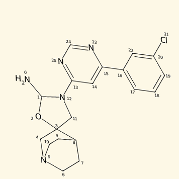 NC1OC2(CN3CCC2CC3)CN1c1cc(-c2cccc(Cl)c2)ncn1